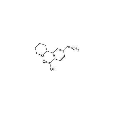 C=Cc1ccc(C(=O)O)c(C2CCCCO2)c1